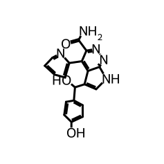 NC(=O)c1nnc2[nH]cc(C(O)c3ccc(O)cc3)c2c1-c1ccccn1